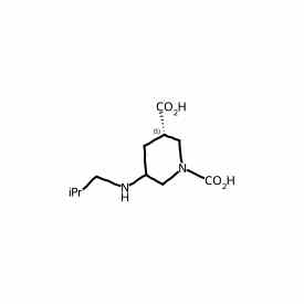 CC(C)CNC1C[C@H](C(=O)O)CN(C(=O)O)C1